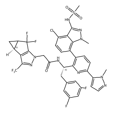 Cn1nccc1-c1ccc(-c2ccc(Cl)c3c(NS(C)(=O)=O)nn(C)c23)c([C@H](Cc2cc(F)cc(F)c2)NC(=O)Cn2nc(C(F)(F)F)c3c2C(F)(F)C2C[C@H]32)n1